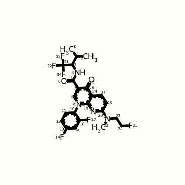 CC(C)C(NC(=O)c1cn(-c2ccc(F)cc2F)c2nc(N(C)CCF)ccc2c1=O)C(F)(F)F